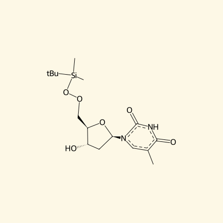 Cc1cn([C@H]2C[C@H](O)[C@@H](COO[Si](C)(C)C(C)(C)C)O2)c(=O)[nH]c1=O